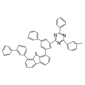 Cc1cccc(-c2nc(-c3ccccc3)nc(-c3cc(-c4ccccc4)cc(-c4cccc5c4sc4c(-c6cccc(-c7ccccc7)c6)cccc45)c3)n2)c1